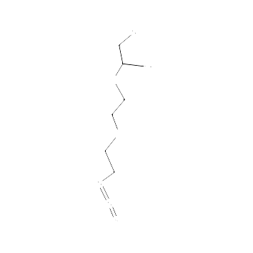 [N-]=[N+]=NCCOCCOC(O)CN